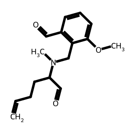 C=CCCC(C=O)N(C)Cc1c(C=O)cccc1OC